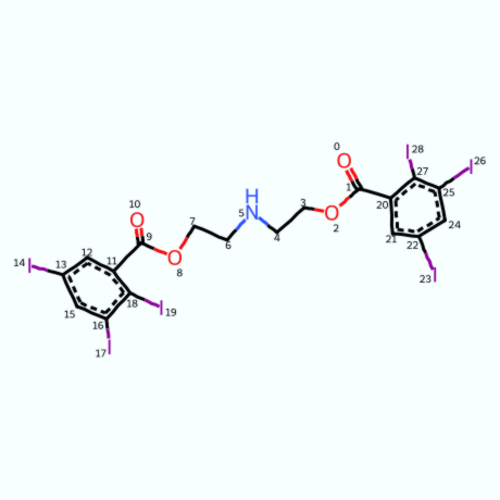 O=C(OCCNCCOC(=O)c1cc(I)cc(I)c1I)c1cc(I)cc(I)c1I